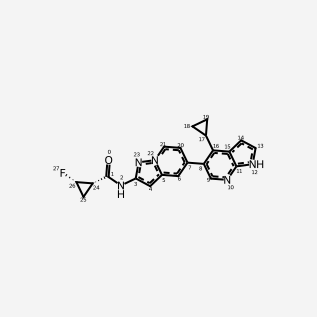 O=C(Nc1cc2cc(-c3cnc4[nH]ccc4c3C3CC3)ccn2n1)[C@@H]1C[C@@H]1F